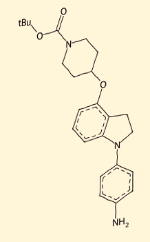 CC(C)(C)OC(=O)N1CCC(Oc2cccc3c2CCN3c2ccc(N)cc2)CC1